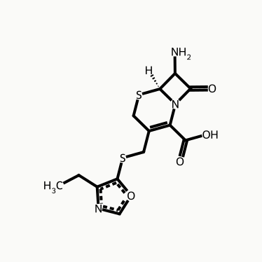 CCc1ncoc1SCC1=C(C(=O)O)N2C(=O)C(N)[C@@H]2SC1